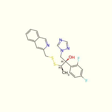 C[C@@H](SSCc1cc2ccccc2cn1)[C@](O)(Cn1cncn1)c1ccc(F)cc1F